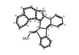 O/N=C1\c2ccccc2C2=C3C=CC=CC3c3[nH]c4ccc5ccccc5c4c3C21